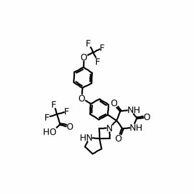 O=C(O)C(F)(F)F.O=C1NC(=O)C(c2ccc(Oc3ccc(OC(F)(F)F)cc3)cc2)(N2CC3(CCCN3)C2)C(=O)N1